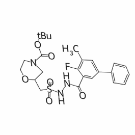 Cc1cc(-c2ccccc2)cc(C(=O)NNS(=O)(=O)CC2CN(C(=O)OC(C)(C)C)CCO2)c1F